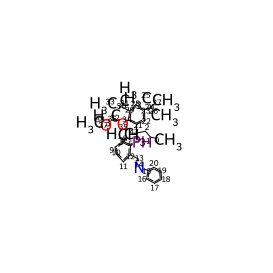 CCCC(C)(Pc1c(C)cccc1/C=N/c1ccccc1)c1cc(C(C)(C)C)cc(C(C)(C)C)c1OCOC